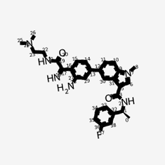 C[C@H](NC(=O)c1cn(C)c2ccc(-c3ccc(C(=N)C(=O)NCCN(C)C)c(N)c3)cc12)c1cccc(F)c1